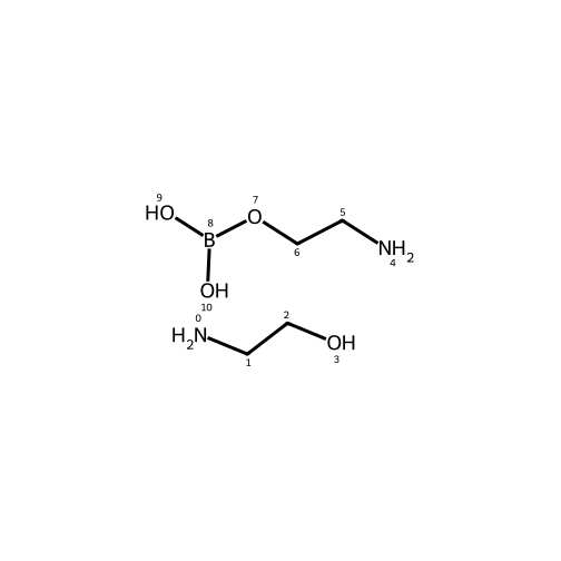 NCCO.NCCOB(O)O